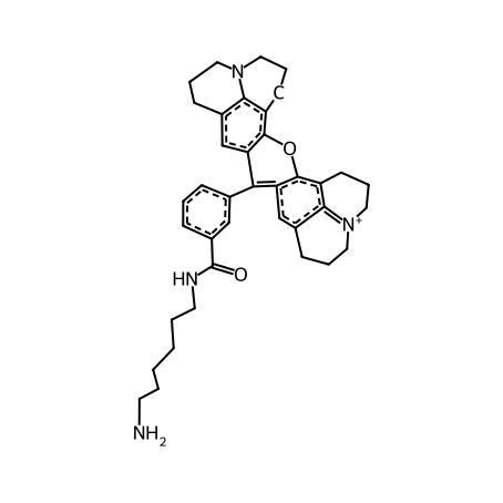 NCCCCCCNC(=O)c1cccc(C2=c3cc4c5c(c3Oc3c2cc2c6c3CCCN6CCC2)CCC[N+]=5CCC4)c1